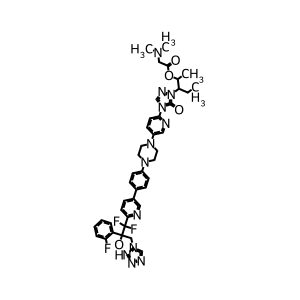 CCC(C(C)OC(=O)CN(C)C)n1ncn(-c2ccc(N3CCN(c4ccc(-c5ccc(C(F)(F)C(O)(Cn6cnnn6)c6ccccc6F)nc5)cc4)CC3)cn2)c1=O